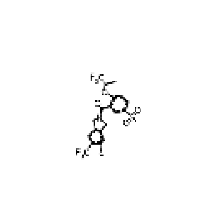 C[C@H](Oc1ccc(S(C)(=O)=O)cc1C(=O)N1Cc2cc(F)c(C(F)(F)F)cc2C1)C(F)(F)F